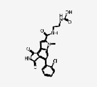 Cn1c(C(=O)NCCNC(=O)O)cc2c3c(c(-c4ccccc4Cl)cc21)C(=O)NC3=O